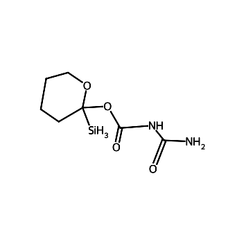 NC(=O)NC(=O)OC1([SiH3])CCCCO1